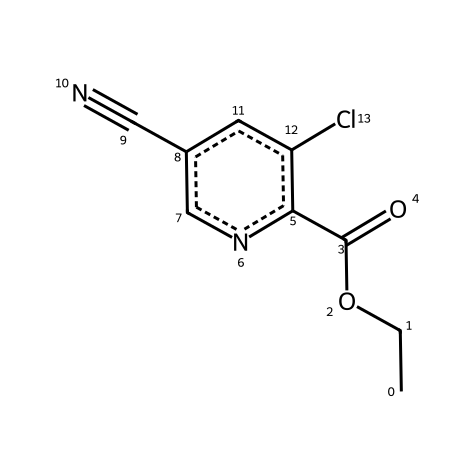 CCOC(=O)c1ncc(C#N)cc1Cl